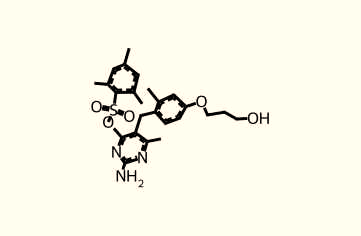 Cc1cc(C)c(S(=O)(=O)Oc2nc(N)nc(C)c2Cc2ccc(OCCCO)cc2C)c(C)c1